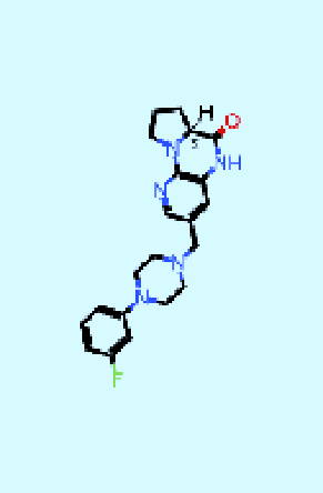 O=C1Nc2cc(CN3CCN(c4cccc(F)c4)CC3)cnc2N2CCC[C@@H]12